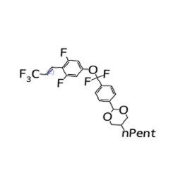 CCCCCC1COC(c2ccc(C(F)(F)Oc3cc(F)c(/C=C/C(F)(F)F)c(F)c3)cc2)OC1